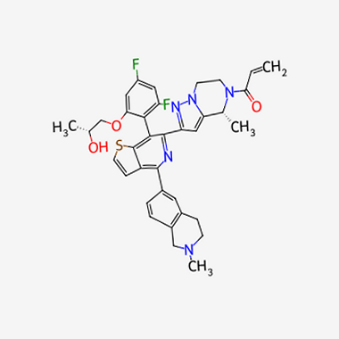 C=CC(=O)N1CCn2nc(-c3nc(-c4ccc5c(c4)CCN(C)C5)c4ccsc4c3-c3c(F)cc(F)cc3OC[C@@H](C)O)cc2[C@H]1C